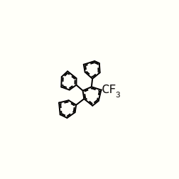 FC(F)(F)c1ccc(-c2ccccc2)c(-c2ccccc2)c1-c1ccccc1